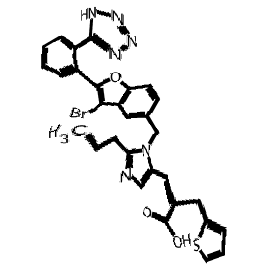 CCCc1ncc(C=C(Cc2cccs2)C(=O)O)n1Cc1ccc2oc(-c3ccccc3-c3nnn[nH]3)c(Br)c2c1